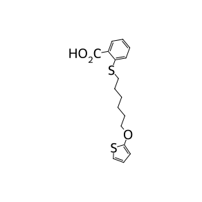 O=C(O)c1ccccc1SCCCCCCOc1cccs1